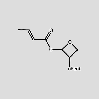 CC=CC(=O)OC1OCC1CCCCC